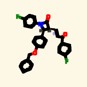 O=C(/C=C/[C@H]1C(=O)N(c2ccc(F)cc2)[C@@H]1c1ccc(OCc2ccccc2)cc1)c1ccc(F)cc1